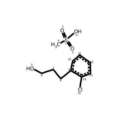 CS(=O)(=O)O.OCCCc1ccccc1Cl